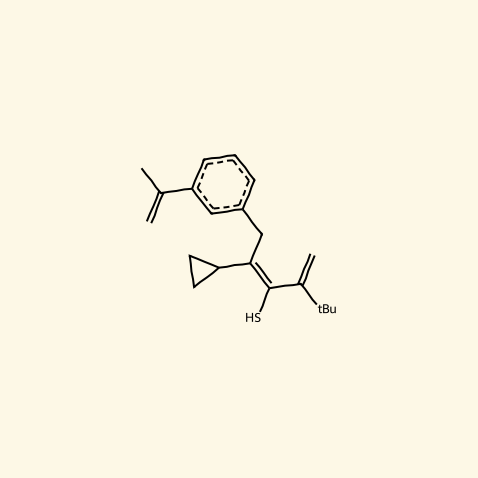 C=C(C)c1cccc(C/C(=C(/S)C(=C)C(C)(C)C)C2CC2)c1